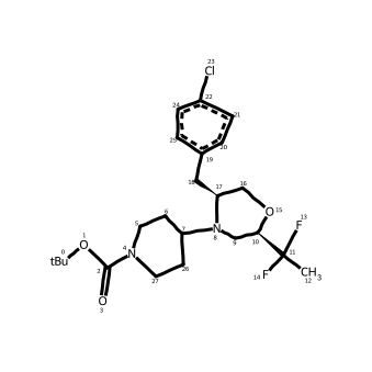 CC(C)(C)OC(=O)N1CCC(N2C[C@H](C(C)(F)F)OC[C@@H]2Cc2ccc(Cl)cc2)CC1